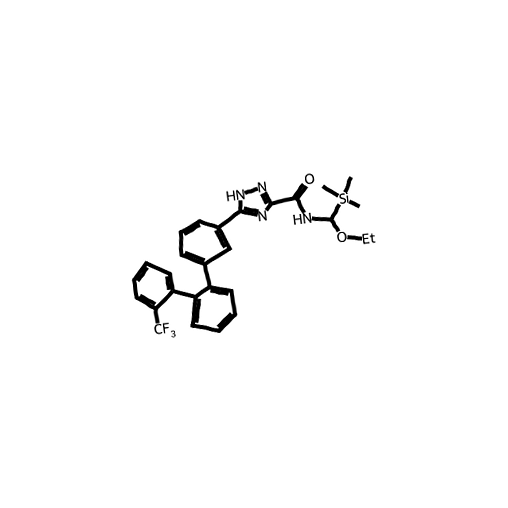 CCOC(NC(=O)c1n[nH]c(-c2cccc(-c3ccccc3-c3ccccc3C(F)(F)F)c2)n1)[Si](C)(C)C